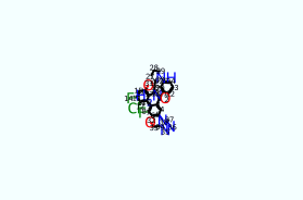 NC(=O)c1cc2c(c(F)c1-c1c(Cl)c(F)cc3c1C[C@](c1ccccc1)([C@@H]1CCCN1)O3)OCc1nncn1-2